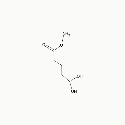 NOC(=O)CCCC(O)O